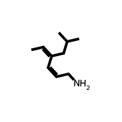 C/C=C(\C=C/CN)CC(C)C